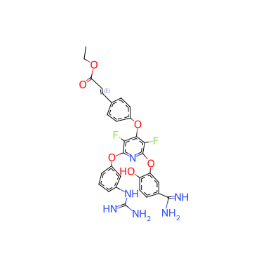 CCOC(=O)/C=C/c1ccc(Oc2c(F)c(Oc3cccc(NC(=N)N)c3)nc(Oc3cc(C(=N)N)ccc3O)c2F)cc1